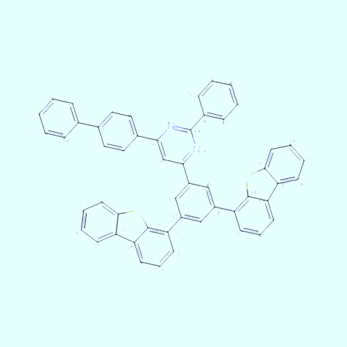 c1ccc(-c2ccc(-c3cc(-c4cc(-c5cccc6c5sc5ccccc56)cc(-c5cccc6c5sc5ccccc56)c4)nc(-c4ccccc4)n3)cc2)cc1